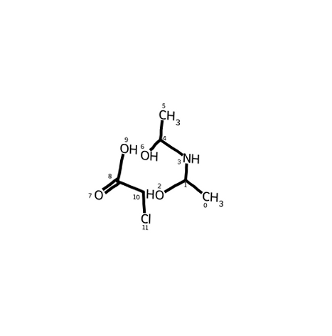 CC(O)NC(C)O.O=C(O)CCl